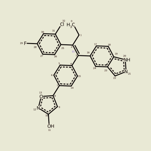 CC/C(=C(/c1ccc(-c2cc(O)no2)cc1)c1ccc2[nH]ncc2c1)c1ccc(F)cc1Cl